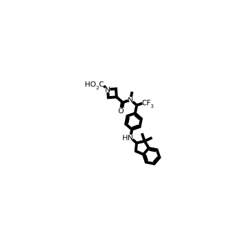 CN(C(=O)C1CN(C(=O)O)C1)C(c1ccc(NC2Cc3ccccc3C2(C)C)cc1)C(F)(F)F